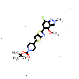 COc1c(-c2nc3sc(C4CCN(C(=O)OC(C)(C)C)CC4)cc3s2)cc(F)c2nn(C)cc12